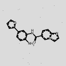 Nc1ccc(-c2cccs2)cc1NC(=O)c1ccc2nccn2c1